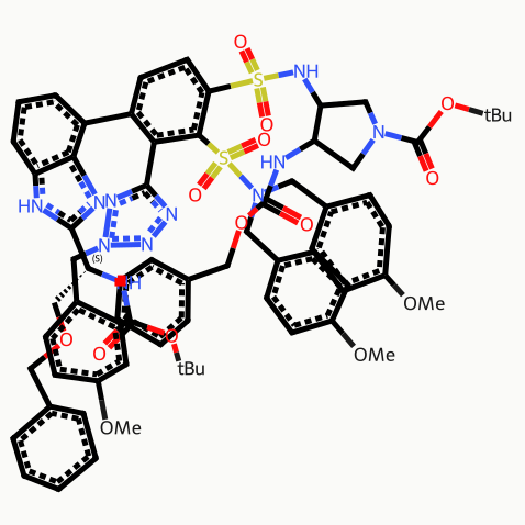 COc1ccc(CN(Cc2ccc(OC)cc2)S(=O)(=O)c2c(S(=O)(=O)NC3CN(C(=O)OC(C)(C)C)CC3NC(=O)OCc3ccccc3)ccc(-c3cccc4[nH]c([C@@H](COCc5ccccc5)NC(=O)OC(C)(C)C)nc34)c2-c2nnn(Cc3ccc(OC)cc3)n2)cc1